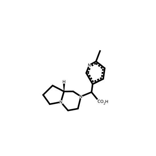 Cc1ccc(C(C(=O)O)N2CCN3CCC[C@@H]3C2)cn1